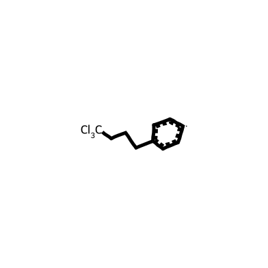 ClC(Cl)(Cl)CCCc1cc[c]cc1